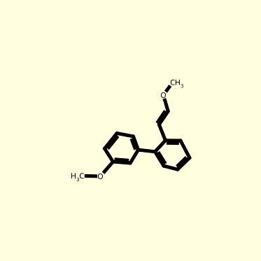 COC=Cc1ccccc1-c1cccc(OC)c1